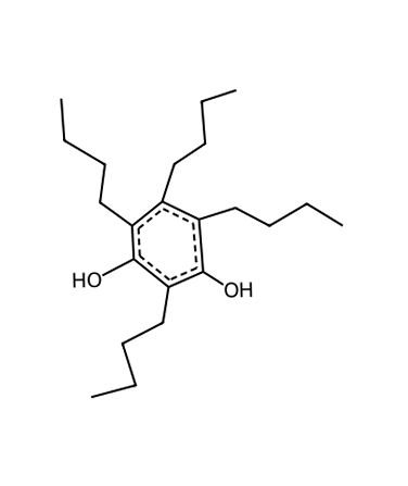 CCCCc1c(O)c(CCCC)c(CCCC)c(CCCC)c1O